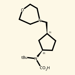 CC(C)(C)N(C(=O)O)[C@@H]1CC[C@H](CN2CCOCC2)C1